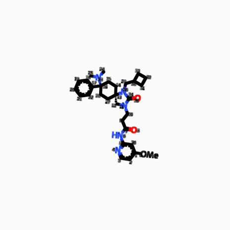 COc1ccnc(NC(=O)CCN2C[C@]3(CC[C@](c4ccccc4)(N(C)C)CC3)N(CC3CCC3)C2=O)c1